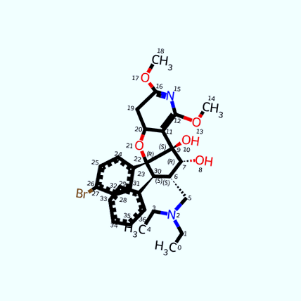 CCN(CC)C[C@H]1[C@@H](O)[C@@]2(O)C3=C(OC)N=C(OC)CC3O[C@@]2(c2ccc(Br)cc2)[C@@H]1c1ccccc1